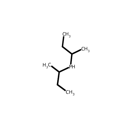 CCC(C)PC(C)CC